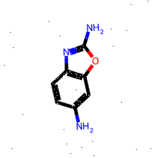 Nc1ccc2nc(N)oc2c1